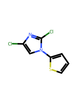 Clc1cn(-c2cccs2)c(Cl)n1